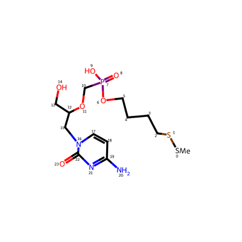 CSSCCCCOP(=O)(O)COC(CO)Cn1ccc(N)nc1=O